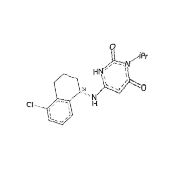 CC(C)n1c(=O)cc(N[C@H]2CCCc3c(Cl)cccc32)[nH]c1=O